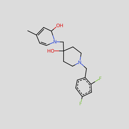 CC1=CC(O)N(CC2(O)CCN(Cc3ccc(F)cc3F)CC2)C=C1